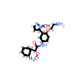 CO[C@H](C(=O)Nc1ccc(OCCN)c(-c2ccnn2C)c1)c1ccccc1